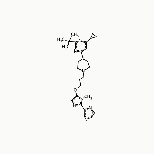 Cn1c(OCCCN2CCN(c3cc(C4CC4)nc(C(C)(C)C)n3)CC2)nnc1-c1cnccn1